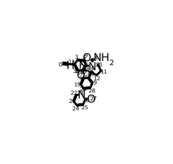 C#Cc1ccc([N+]2(C(N)=O)CCC[C@]2(C(N)=O)c2ccc(-n3ccccc3=O)cc2)cc1